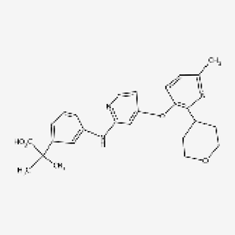 Cc1ccc(Oc2ccnc(Nc3cccc(C(C)(C)C(=O)O)c3)c2)c(C2CCOCC2)n1